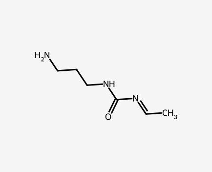 CC=NC(=O)NCCCN